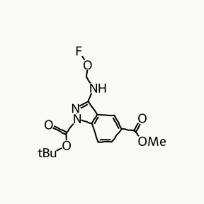 COC(=O)c1ccc2c(c1)c(NCOF)nn2C(=O)OC(C)(C)C